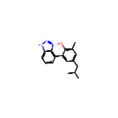 Cc1cc(CC(C)C)cc(-c2cccc3[nH]nnc23)c1O